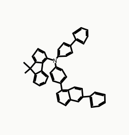 CC1(C)c2ccccc2-c2c(N(c3ccc(-c4ccccc4)cc3)c3ccc(-c4cccc5cc(-c6ccccc6)ccc45)cc3)cccc21